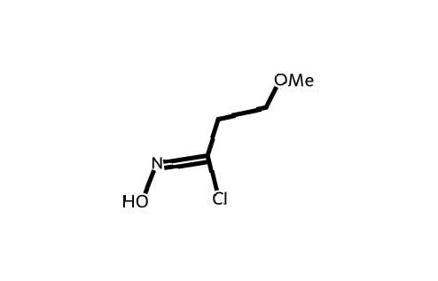 COCCC(Cl)=NO